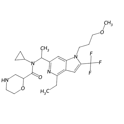 CCc1nc(C(C)N(C(=O)C2CNCCO2)C2CC2)cc2c1cc(C(F)(F)F)n2CCCOC